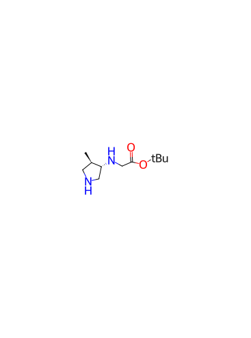 C[C@@H]1CNC[C@H]1NCC(=O)OC(C)(C)C